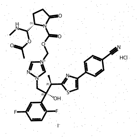 CNC(OC(C)=O)[C@@H]1CCC(=O)N1C(=O)OC[n+]1cnn(C[C@](O)(c2cc(F)ccc2F)[C@@H](C)c2nc(-c3ccc(C#N)cc3)cs2)c1.Cl.[I-]